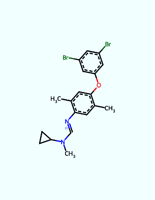 Cc1cc(Oc2cc(Br)cc(Br)c2)c(C)cc1/N=C/N(C)C1CC1